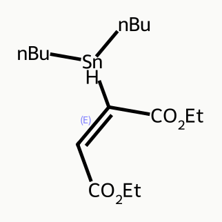 CCC[CH2][SnH]([CH2]CCC)/[C](=C/C(=O)OCC)C(=O)OCC